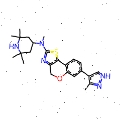 Cc1n[nH]cc1-c1ccc2c(c1)OCc1nc(N(C)C3CC(C)(C)NC(C)(C)C3)sc1-2